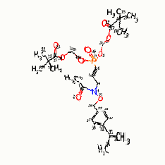 CC(=O)N(C/C=C/P(=O)(OCOC(=O)C(C)(C)C)OCOC(=O)C(C)(C)C)OCc1ccc(C(C)C)cc1